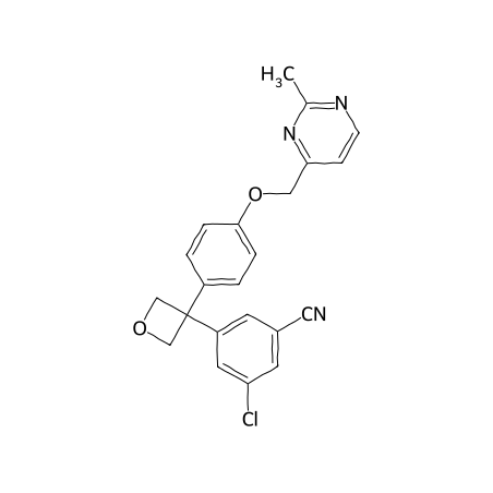 Cc1nccc(COc2ccc(C3(c4cc(Cl)cc(C#N)c4)COC3)cc2)n1